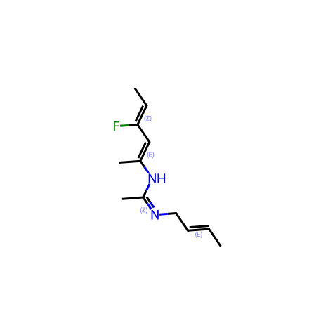 C/C=C(F)/C=C(\C)N/C(C)=N\C/C=C/C